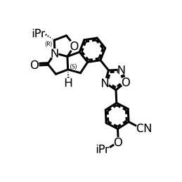 CC(C)Oc1ccc(-c2nc(-c3cccc4c3C[C@H]3CC(=O)N5[C@H](C(C)C)COC435)no2)cc1C#N